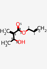 C=CCOC(=O)C(=C)C(C)O